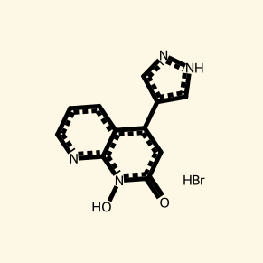 Br.O=c1cc(-c2cn[nH]c2)c2cccnc2n1O